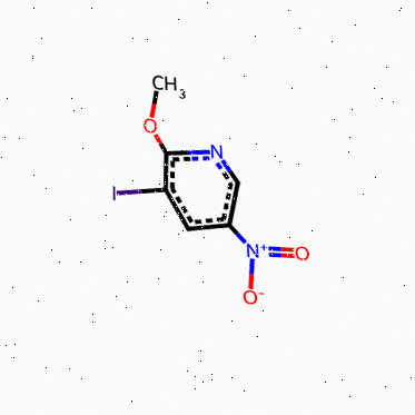 COc1ncc([N+](=O)[O-])cc1I